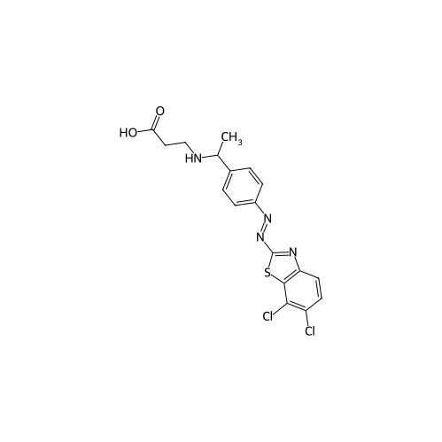 CC(NCCC(=O)O)c1ccc(N=Nc2nc3ccc(Cl)c(Cl)c3s2)cc1